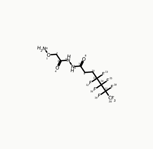 NOCC(=O)NNC(=O)CCC(F)(F)C(F)(F)C(F)(F)C(F)(F)F